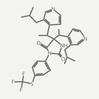 CC(C)Cc1cnccc1C(C)C1(C(C)c2ccncc2CC(C)C)NC(=O)N(c2ccc(SC(F)(F)F)cc2)C1=O